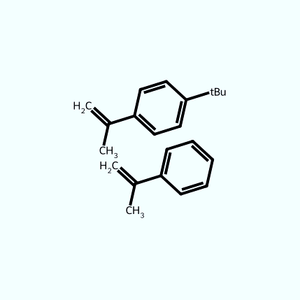 C=C(C)c1ccc(C(C)(C)C)cc1.C=C(C)c1ccccc1